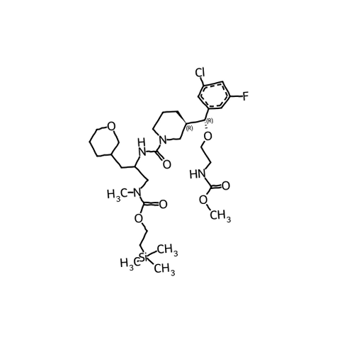 COC(=O)NCCO[C@@H](c1cc(F)cc(Cl)c1)[C@@H]1CCCN(C(=O)NC(CC2CCCOC2)CN(C)C(=O)OCC[Si](C)(C)C)C1